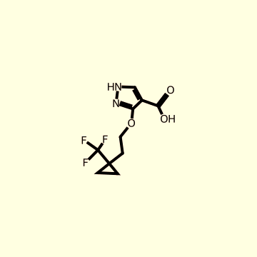 O=C(O)c1c[nH]nc1OCCC1(C(F)(F)F)CC1